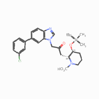 CC(C)(C)[Si](C)(C)O[C@H]1CCCN(C(=O)O)[C@@H]1CC(=O)Cn1cnc2ccc(-c3cccc(Cl)c3)cc21